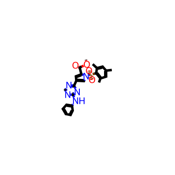 COC(=O)c1cc(-c2ncnc(Nc3ccccc3)n2)cn1S(=O)(=O)c1c(C)cc(C)cc1C